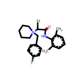 CCC(C(=O)Nc1c(C)cccc1C)[N+]1(Cc2ccc(F)cc2)CCCCC1